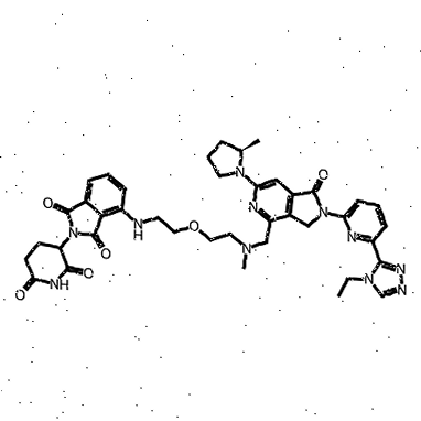 CCn1cnnc1-c1cccc(N2Cc3c(cc(N4CCC[C@H]4C)nc3CN(C)CCOCCNc3cccc4c3C(=O)N(C3CCC(=O)NC3=O)C4=O)C2=O)n1